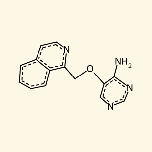 Nc1ncncc1OCc1nccc2ccccc12